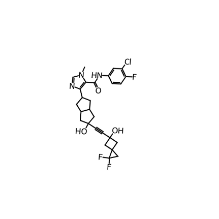 Cn1cnc(C2CC3CC(O)(C#CC4(O)CC5(C4)CC5(F)F)CC3C2)c1C(=O)Nc1ccc(F)c(Cl)c1